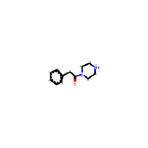 O=C(Cc1ccccc1)N1CCNCC1